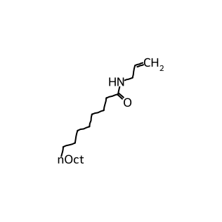 C=CCNC(=O)CCCCCCCCCCCCCCC